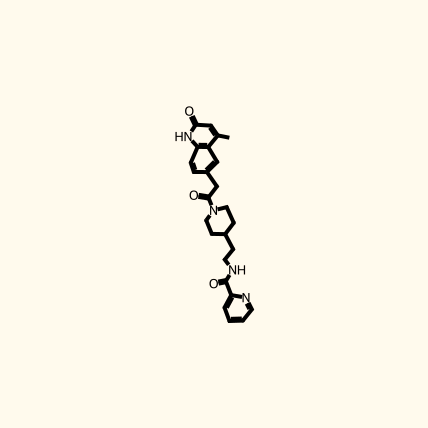 Cc1cc(=O)[nH]c2ccc(CC(=O)N3CCC(CCNC(=O)c4ccccn4)CC3)cc12